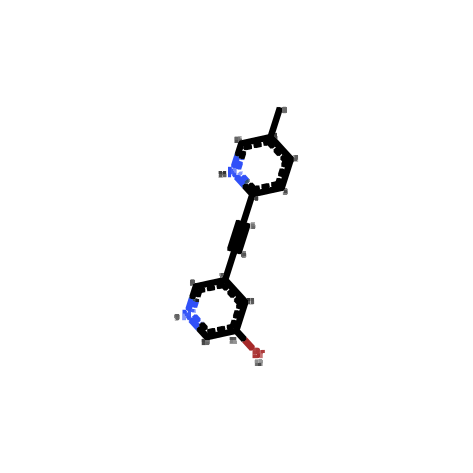 Cc1ccc(C#Cc2cncc(Br)c2)nc1